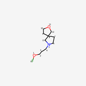 FOCCCN1CCC2(CCOC2)C1